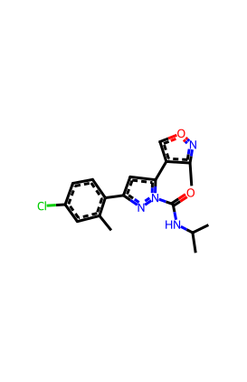 Cc1cc(Cl)ccc1-c1cc(-c2conc2C)n(C(=O)NC(C)C)n1